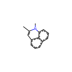 CC1=Cc2cccc3cccc(c23)N1C